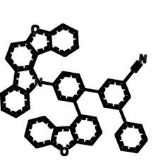 N#Cc1cc(-c2ccccc2)cc(-c2ccc(-n3c4ccccc4c4ccc5oc6ccccc6c5c43)cc2-c2cccc3oc4ccccc4c23)c1